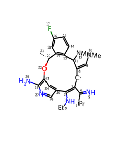 CCN/C1=C(\C(=N)C(C)C)C/C(=C/NC)C(NC)c2ccc(F)cc2[C@@H](C)Oc2cc1cnc2N